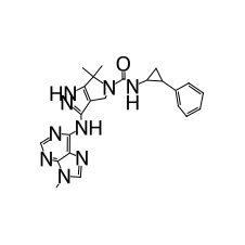 Cn1cnc2c(Nc3n[nH]c4c3CN(C(=O)NC3CC3c3ccccc3)C4(C)C)ncnc21